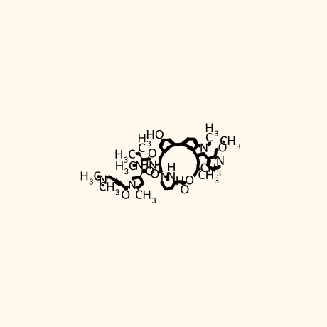 CCn1c(-c2cccnc2COC)c2c3cc(ccc31)-c1cc(O)cc(c1)C[C@H](NC(=O)[C@H](C(C)C)N(C)C(=O)[C@H]1C[C@@H](C)N(C(=O)C#CCN(C)C)C1)C(=O)N1CCC[C@H](N1)C(=O)OCC(C)(C)C2